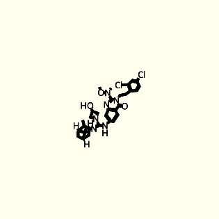 CON(C)c1nc2cc(N/C(=N/[C@H]3C[C@@H]4C[C@H](C3C)C4(C)C)N3CC(O)C3)ccc2c(=O)n1CCc1ccc(Cl)cc1Cl